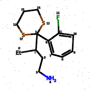 CCC(CCN)C1(c2ccccc2F)SCCCS1